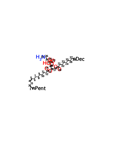 CCCCC/C=C\C/C=C\CCCCCCCC(=O)OC(COC(=O)CCCCCCCCCCCCCCCCC)COP(=O)(O)OCCN